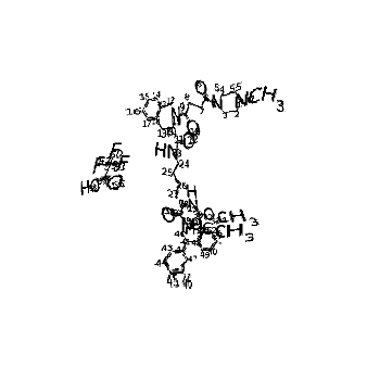 CN1CCN(C(=O)CCC(=O)N2Cc3ccccc3C[C@H]2C(=O)NCCCC[C@H](NC(=O)OC(C)(C)C)C(=O)NCC(c2ccccc2)c2ccccc2)CC1.O=C(O)C(F)(F)F